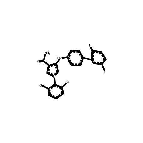 NC(=O)c1nn(-c2c(Cl)cccc2Cl)cc1Nc1ccc(-c2cc(F)ccc2F)cc1